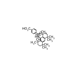 CC1(C)CCC(C)(C)c2c1cc1c(c2NC(=O)c2ccc(C(=O)O)cc2)C(C)(C)CCC1(C)C